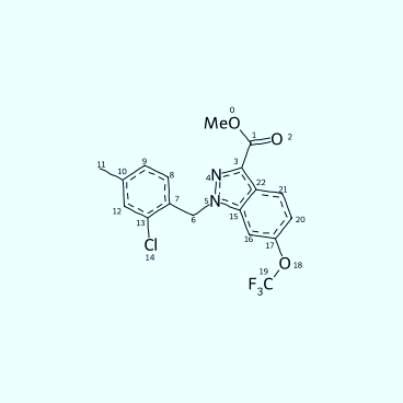 COC(=O)c1nn(Cc2ccc(C)cc2Cl)c2cc(OC(F)(F)F)ccc12